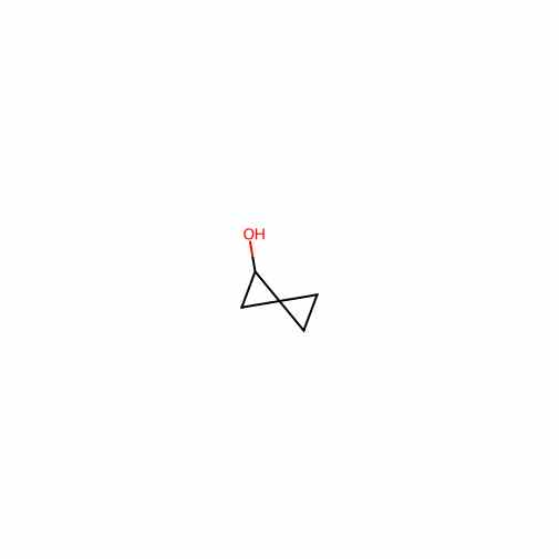 OC1CC12CC2